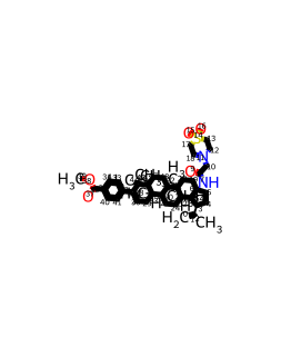 C=C(C)[C@@H]1CC[C@]2(NC(=O)CN3CCS(=O)(=O)CC3)CC[C@]3(C)[C@H](CC[C@@H]4[C@@]5(C)CC=C(c6ccc(C(=O)OC)cc6)C(C)(C)[C@]5(C)CC[C@]43C)[C@@H]12